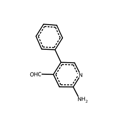 Nc1cc(C=O)c(-c2ccccc2)cn1